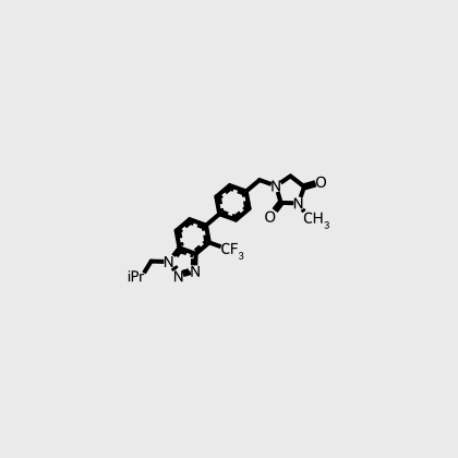 CC(C)Cn1nnc2c(C(F)(F)F)c(-c3ccc(CN4CC(=O)N(C)C4=O)cc3)ccc21